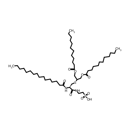 CCCCCCCCCCCCCCCC(=O)N[C@@H](CSC(COC(=O)CCCCCCCCCCC)COC(=O)CCCCCCCCCCC)C(=O)NCCS(=O)(=O)O